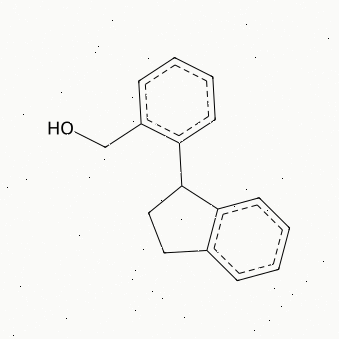 OCc1ccccc1C1CCc2ccccc21